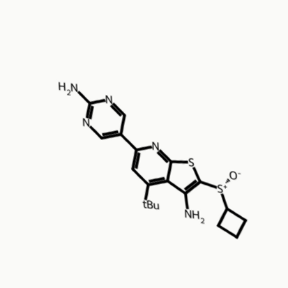 CC(C)(C)c1cc(-c2cnc(N)nc2)nc2sc([S@+]([O-])C3CCC3)c(N)c12